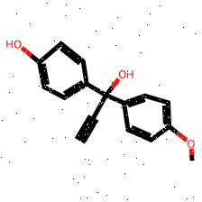 C#CC(O)(c1ccc(O)cc1)c1ccc(OC)cc1